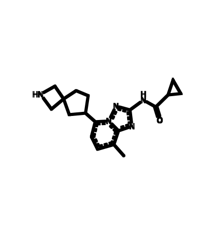 Cc1ccc(C2CCC3(CNC3)C2)n2nc(NC(=O)C3CC3)nc12